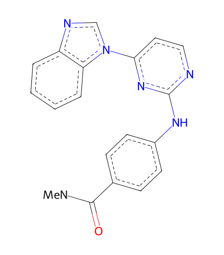 CNC(=O)c1ccc(Nc2nccc(-n3cnc4ccccc43)n2)cc1